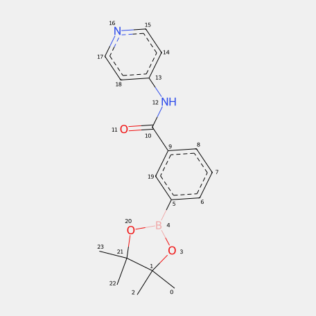 CC1(C)OB(c2cccc(C(=O)Nc3ccncc3)c2)OC1(C)C